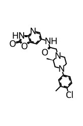 Cc1cc(N2CCN(CC(=O)Nc3cnc4[nH]c(=O)oc4c3)[C@H](C)C2)ccc1Cl